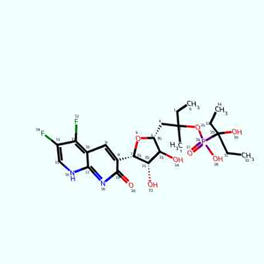 CCC(C)(C[C@H]1O[C@@H](c2cc3c(F)c(F)c[nH]c-3nc2=O)[C@@H](O)C1O)OP(=O)(O)C(O)(CC)CC